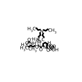 CC(C)(C)C(CCONC(=O)[C@@H]1CC[C@@H]2CN1C(=O)N2OS(=O)(=O)O)NC(=O)[O-].CCCC[N+](CCCC)(CCCC)CCCC